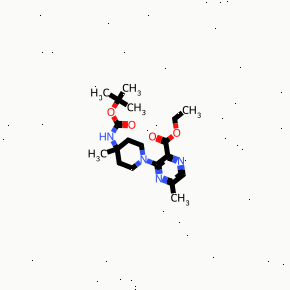 CCOC(=O)c1ncc(C)nc1N1CCC(C)(NC(=O)OC(C)(C)C)CC1